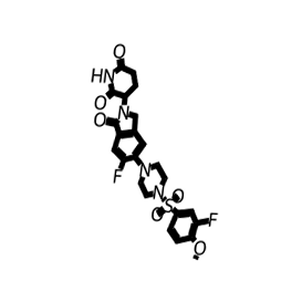 COc1ccc(S(=O)(=O)N2CCN(c3cc4c(cc3F)C(=O)N(C3CCC(=O)NC3=O)C4)CC2)cc1F